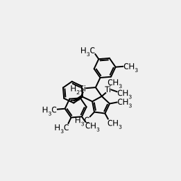 CC1=C(C)[C](C([SiH2]c2cc(C)c(C)c(C)c2)c2cc(C)cc(C)c2)([Ti]([CH3])[CH3])C(c2ccccc2)=C1C